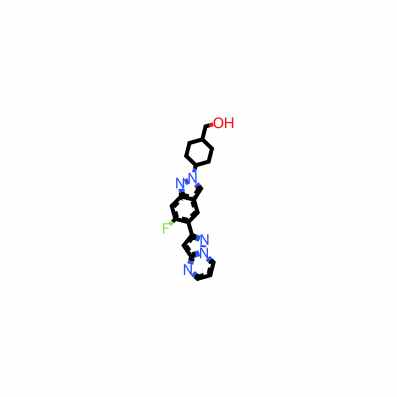 OCC1CCC(n2cc3cc(-c4cc5ncccn5n4)c(F)cc3n2)CC1